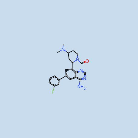 CN(C)C1CCN(C=O)C(c2cc(-c3cccc(F)c3)cc3c(N)ncnc23)C1